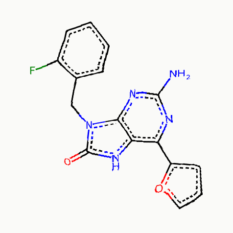 Nc1nc(-c2ccco2)c2[nH]c(=O)n(Cc3ccccc3F)c2n1